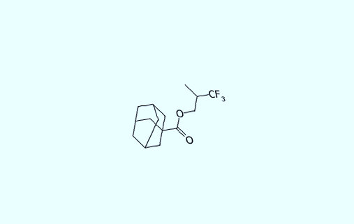 CC(COC(=O)C12CC3CC(CC(C3)C1)C2)C(F)(F)F